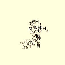 COC1=C(c2cc(N3CCC4(CCCC4)C3)c(C#N)nn2)C=NC(OC)N1